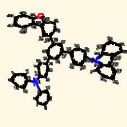 c1ccc(N(c2ccccc2)c2ccc(-c3cc(-c4ccc(-n5c6ccccc6c6ccccc65)cc4)cc(-c4ccc5oc6ccccc6c5c4)c3)cc2)cc1